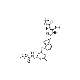 Cc1cc(CNC(=O)OC(C)(C)C)cc(Oc2cccc3c2ccn3CC(=O)NC(=N)NC(=O)OC(C)(C)C)n1